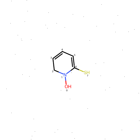 ON1CC=CC=C1S